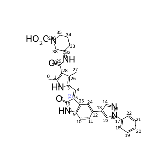 Cc1[nH]c(/C=C2\C(=O)Nc3ccc(-c4cnn(-c5ccccc5)c4)cc32)c(C)c1C(=O)N[C@H]1CCCN(C(=O)O)C1